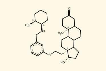 C[C@H]1CCCC[C@H]1NCc1cccc(OCC[C@]23CCC4C(CCC5CC(=O)CC[C@@]54C)C2CC[C@@H]3O)c1